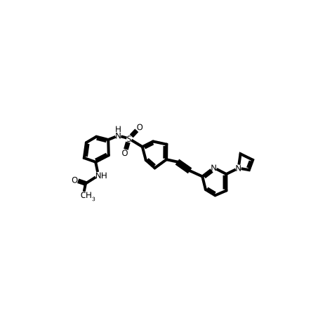 CC(=O)Nc1cccc(NS(=O)(=O)c2ccc(C#Cc3cccc(N4C=CC4)n3)cc2)c1